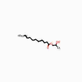 CCCCCC/C=C/CCCCCCCC(=O)OCC(O)CC